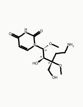 CO[C@H]([C@H](O)[C@](CO)(CCN)OC)n1ccc(=O)[nH]c1=O